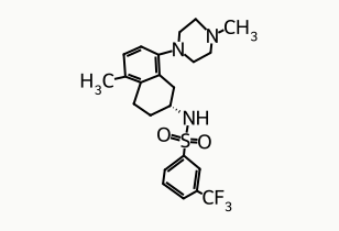 Cc1ccc(N2CCN(C)CC2)c2c1CC[C@@H](NS(=O)(=O)c1cccc(C(F)(F)F)c1)C2